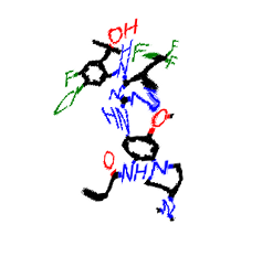 C=CC(=O)Nc1cc(Nc2ncc(C(F)(F)F)c(Nc3cc(Cl)c(F)cc3C(C)(C)O)n2)c(OC)cc1N1CCC(N(C)C)C1